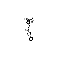 CS(=O)(=O)Nc1cc(CCCC(O)N2CCN(c3ccccc3)CC2)ccc1O